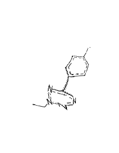 [CH2]c1ccc(-c2nnn(CC)n2)cc1